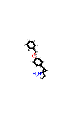 CCC1(N)CC1c1ccc(OCc2ccccc2)cc1